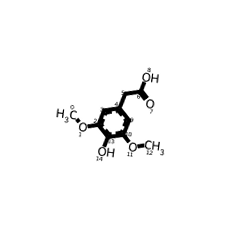 COc1cc(CC(=O)O)cc(OC)c1O